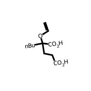 C=COC(CCCC)(CCC(=O)O)C(=O)O